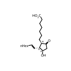 CCCCCCC=C[C@H]1[C@H](O)CC(=O)[C@@H]1CCCCCCC(=O)O